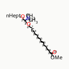 CCCCCCCOCC(COCCCCCCCCC=CCCCCCC(=O)OC)N(C)C